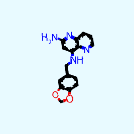 Nc1cc(NCc2ccc3c(c2)OCO3)c2ncccc2n1